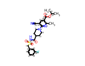 Cc1nc(N2CCC(C(=O)NS(=O)(=O)Cc3cccc(F)c3)CC2)c(C#N)cc1C(=O)OC(C)C